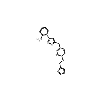 Nc1ncccc1-c1cc(CC2=CNC(OCc3ccco3)C=C2)no1